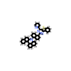 c1ccc(-c2nc(-c3cccc4c(N5c6ccc7ccccc7c6-c6cccc7cccc5c67)cccc34)nc3c2sc2ccccc23)nc1